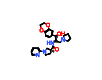 O=C(N[C@H](CN1CCCC1)[C@H](O)c1ccc2c(c1)OCCO2)[C@H]1CCN(c2ccccn2)C1